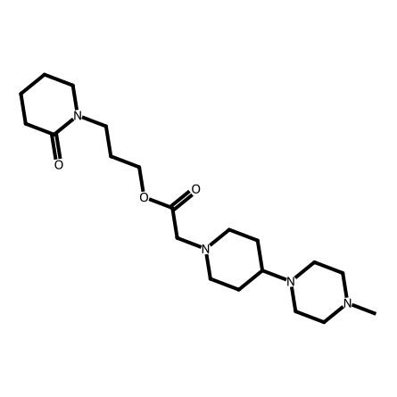 CN1CCN(C2CCN(CC(=O)OCCCN3CCCCC3=O)CC2)CC1